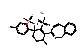 CC1CCC(NS(C)(=O)=O)(c2ccc(Cl)cc2)C(S(C)(=O)=O)=C1C1=NCc2ccccc2C=N1.Cl